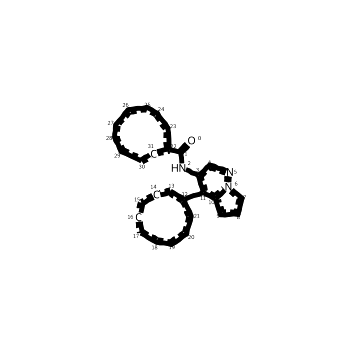 O=C(Nc1cnn2cccc2c1-c1ccccccccc1)c1ccccccccc1